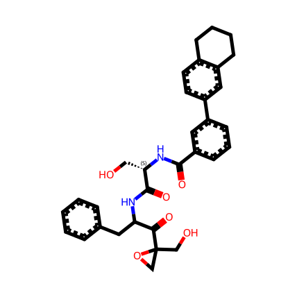 O=C(N[C@@H](CO)C(=O)NC(Cc1ccccc1)C(=O)C1(CO)CO1)c1cccc(-c2ccc3c(c2)CCCC3)c1